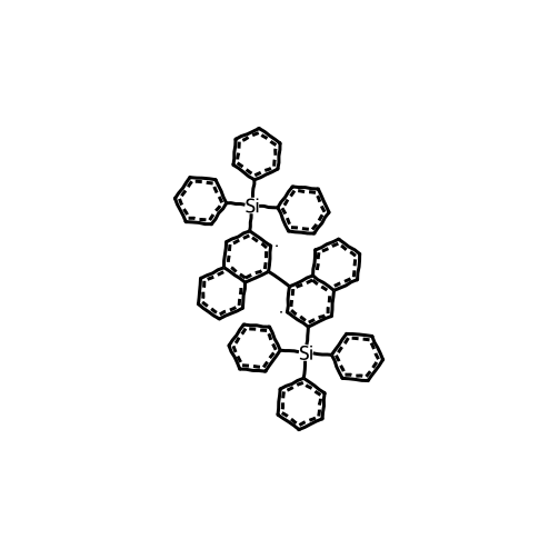 [c]1c([Si](c2ccccc2)(c2ccccc2)c2ccccc2)cc2ccccc2c1-c1[c]c([Si](c2ccccc2)(c2ccccc2)c2ccccc2)cc2ccccc12